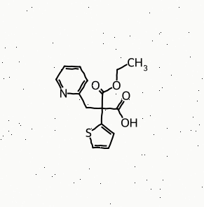 CCOC(=O)C(Cc1ccccn1)(C(=O)O)c1cccs1